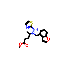 COC(=O)CCC(C)N(Cc1cccc2occc12)Nc1nccs1